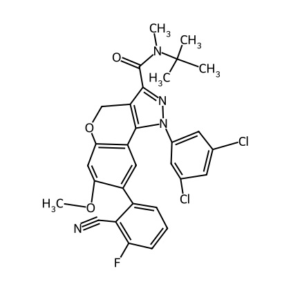 COc1cc2c(cc1-c1cccc(F)c1C#N)-c1c(c(C(=O)N(C)C(C)(C)C)nn1-c1cc(Cl)cc(Cl)c1)CO2